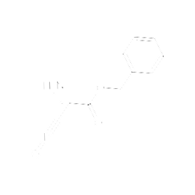 N[C@@H](C#P=O)C(=O)OCc1ccccc1